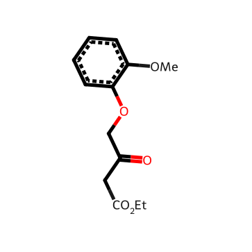 CCOC(=O)CC(=O)COc1ccccc1OC